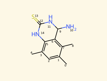 Cc1cc(C)c2c(c1C)C(N)NC(=S)N2